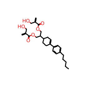 C=C(CO)C(=O)OCC(COC(=O)C(=C)CO)C1CC=C(c2ccc(CCCCC)cc2)CC1